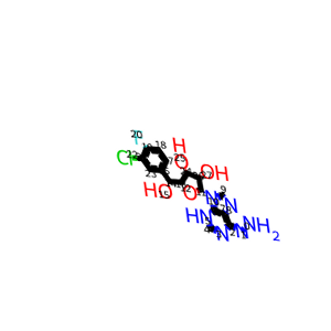 N/N=c1/nc[nH]c2c1ncn2[C@@H]1O[C@H]([C@H](O)c2ccc(F)c(Cl)c2)[C@@H](O)[C@H]1O